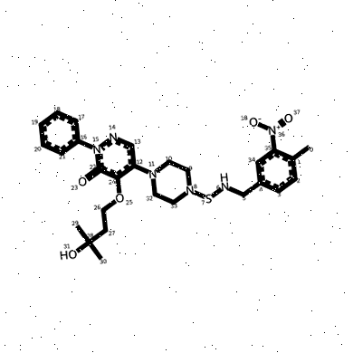 Cc1ccc(CNSN2CCN(c3cnn(-c4ccccc4)c(=O)c3OCCC(C)(C)O)CC2)cc1[N+](=O)[O-]